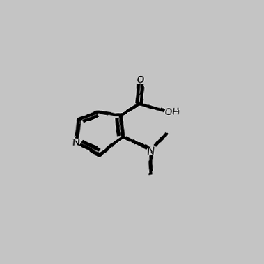 CN(C)c1cnccc1C(=O)O